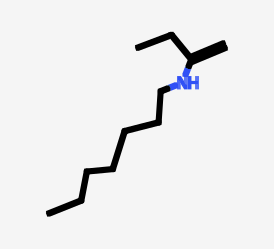 C=C(CC)NCCCCCCC